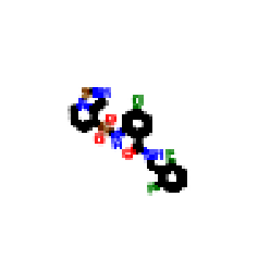 O=C(NCc1c(F)cccc1F)c1ccc(Cl)cc1NS(=O)(=O)C1=CC=CN2SNC=C12